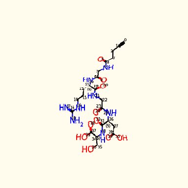 C#CCCC(=O)NCC(=O)N[C@@H](CCCNC(=N)N)C(=O)NCC(=O)N[C@@H](CC(=O)O)C(=O)N[C@@H](CO)C(=O)O